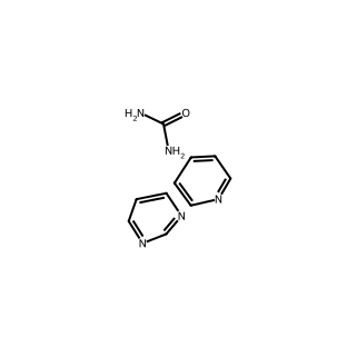 NC(N)=O.c1ccncc1.c1cncnc1